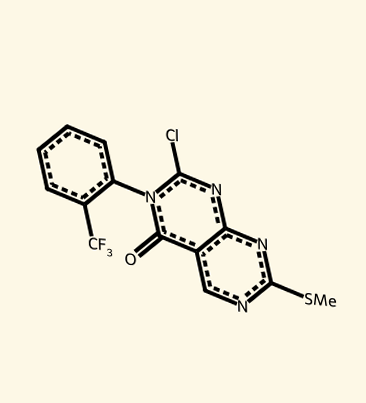 CSc1ncc2c(=O)n(-c3ccccc3C(F)(F)F)c(Cl)nc2n1